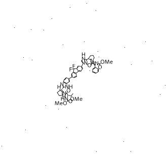 COC(=O)NC(C(=O)N1[C@@H]2CC[C@@H](C2)[C@H]1c1nc2ccc(-c3ccc4c(c3)C(F)(F)c3cc(-c5c[nH]c(C6CCCN6C(=O)[C@H](NC(=O)OC)c6ccccc6)n5)ccc3-4)cc2[nH]1)[C@@H](C)OC